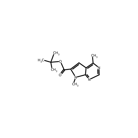 Cc1ncnc2c1cc(C(=O)OC(C)(C)C)n2C